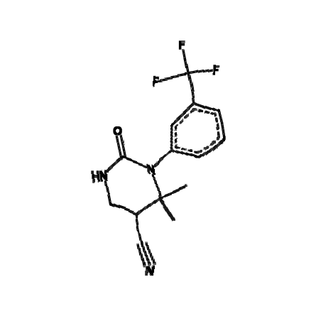 CC1(C)C(C#N)CNC(=O)N1c1cccc(C(F)(F)F)c1